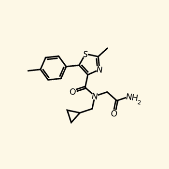 Cc1ccc(-c2sc(C)nc2C(=O)N(CC(N)=O)CC2CC2)cc1